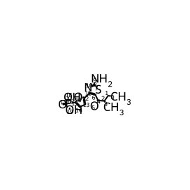 CCC(C)C(=O)c1sc(N)nc1-c1ccc(P(=O)(O)O)o1